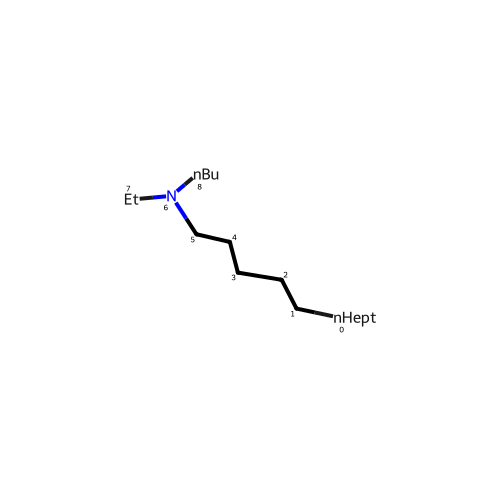 CCCCCCCCCCCCN(CC)CCCC